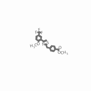 COC(=O)c1ccc(Cc2nc(-c3cc(C(F)(F)F)ccc3OC)cs2)cc1